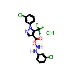 Cl.O=C(ONNc1cccc(Cl)c1)c1cnn(-c2cccc(Cl)c2)c1C(F)(F)F